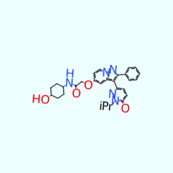 CC(C)n1nc(-c2c(-c3ccccc3)nn3ccc(OCC(=O)NC4CCC(O)CC4)cc23)ccc1=O